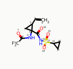 C=CC1CC1(NC(=O)C(F)(F)F)C(=O)NS(=O)(=O)C1CC1